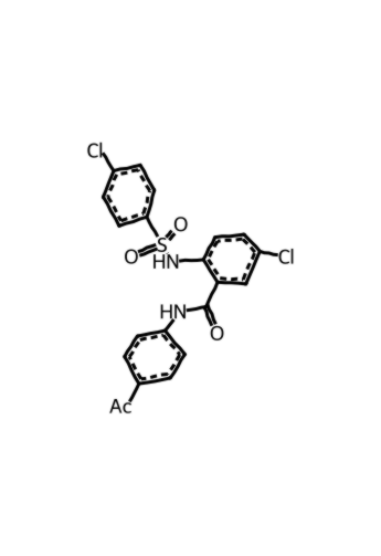 CC(=O)c1ccc(NC(=O)c2cc(Cl)ccc2NS(=O)(=O)c2ccc(Cl)cc2)cc1